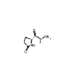 NNC(=O)[C@H]1CCC(=O)N1